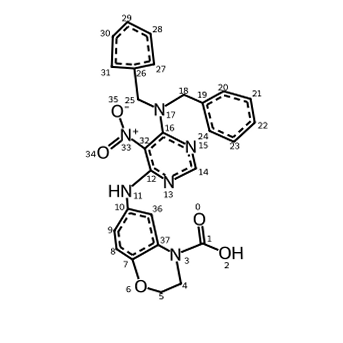 O=C(O)N1CCOc2ccc(Nc3ncnc(N(Cc4ccccc4)Cc4ccccc4)c3[N+](=O)[O-])cc21